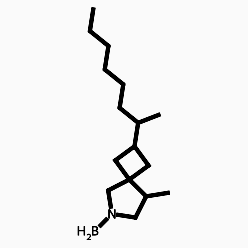 BN1CC(C)C2(CC(C(C)CCCCCC)C2)C1